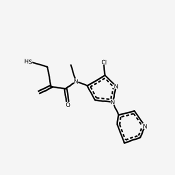 C=C(CS)C(=O)N(C)c1cn(-c2cccnc2)nc1Cl